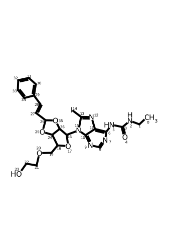 CCNC(=O)Nc1ncnc2c1nc(I)n2C1OC(COCCO)C2OC(C=Cc3ccccc3)OC21